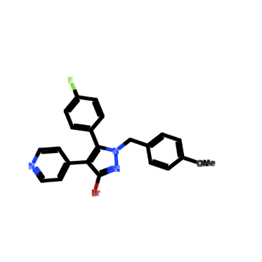 COc1ccc(Cn2nc(Br)c(-c3ccncc3)c2-c2ccc(F)cc2)cc1